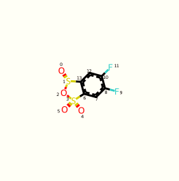 O=S1OS(=O)(=O)c2cc(F)c(F)cc21